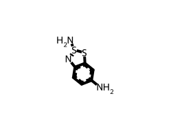 Nc1ccc2c(c1)SS(N)=N2